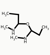 CCC(NC)OC(CC)NC